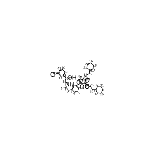 CC(Cc1ccc2c(c1)OC(C(=O)OCCC1CCCCC1)(C(=O)OCCC1CCCCC1)O2)NCC(O)c1cccc(Cl)c1